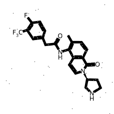 Cc1ccc2c(=O)n([C@H]3CCNC3)ccc2c1NC(=O)Cc1ccc(F)c(C(F)(F)F)c1